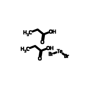 Br[Te]Br.CCC(=O)O.CCC(=O)O